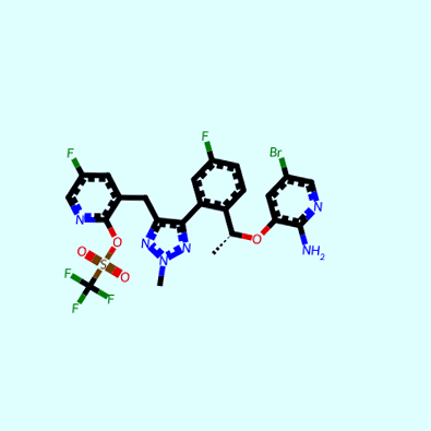 C[C@@H](Oc1cc(Br)cnc1N)c1ccc(F)cc1-c1nn(C)nc1Cc1cc(F)cnc1OS(=O)(=O)C(F)(F)F